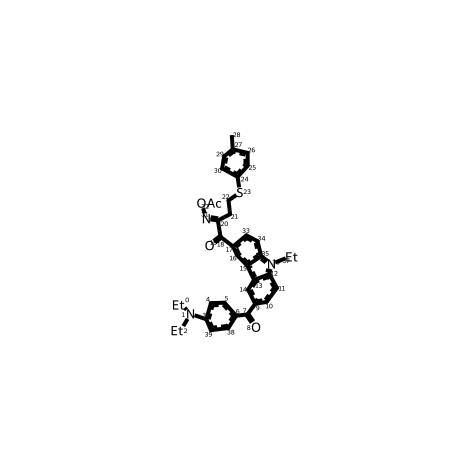 CCN(CC)c1ccc(C(=O)c2ccc3c(c2)c2cc(C(=O)/C(CCSc4ccc(C)cc4)=N/OC(C)=O)ccc2n3CC)cc1